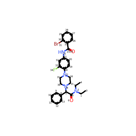 CCN(CC)C(=O)C(c1ccccc1)N1CCN(c2ccc(NC(=O)c3ccccc3Br)cc2F)CC1